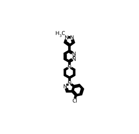 Cn1cc(-c2ccc(N3CCC(n4ncc5c(Cl)cccc54)CC3)nn2)cn1